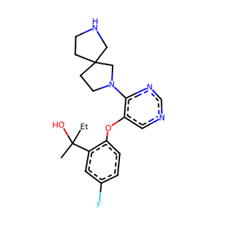 CCC(C)(O)c1cc(F)ccc1Oc1cncnc1N1CCC2(CCNC2)C1